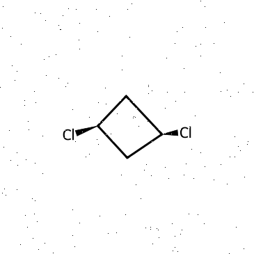 Cl[C@H]1C[C@@H](Cl)C1